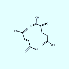 O=C(O)C=CC(=O)O.O=C(O)CCC(=O)C(=O)O